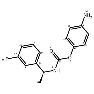 C[C@H](NC(=O)Oc1ccc(N)cc1)c1cccc(F)c1